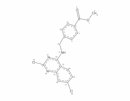 COC(=O)c1ccc(CNc2nc(Cl)nc3cc(Cl)ccc23)cc1